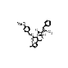 COc1ccc(COC(=O)C2=C(c3ccc(C)o3)CS[C@H]3[C@H]([N+](=Cc4ccccc4)[N+](=O)[O-])C(=O)N23)cc1